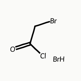 Br.O=C(Cl)CBr